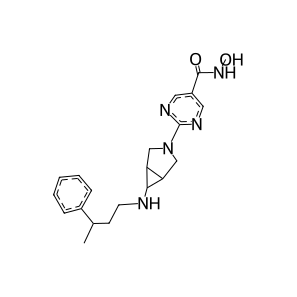 CC(CCNC1C2CN(c3ncc(C(=O)NO)cn3)CC21)c1ccccc1